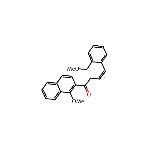 COCc1ccccc1/C=C\CC(=O)c1ccc2ccccc2c1OC